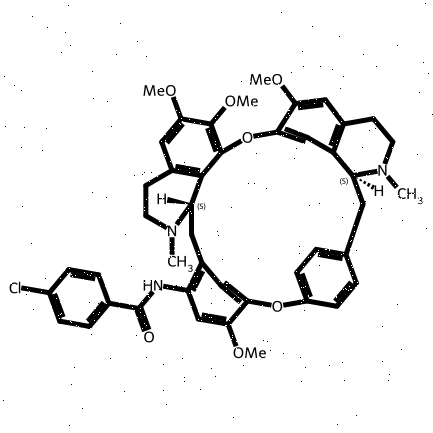 COc1cc(NC(=O)c2ccc(Cl)cc2)c2cc1Oc1ccc(cc1)C[C@H]1c3cc(c(OC)cc3CCN1C)Oc1c(OC)c(OC)cc3c1[C@H](C2)N(C)CC3